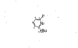 CC(C)(C)c1cccc(I)n1